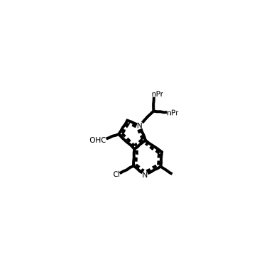 CCCC(CCC)n1cc(C=O)c2c(Cl)nc(C)cc21